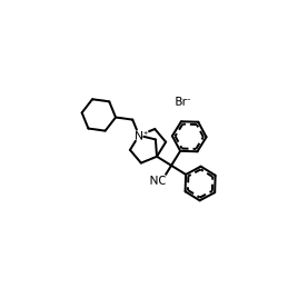 N#CC(c1ccccc1)(c1ccccc1)C12CC[N+](CC3CCCCC3)(CC1)C2.[Br-]